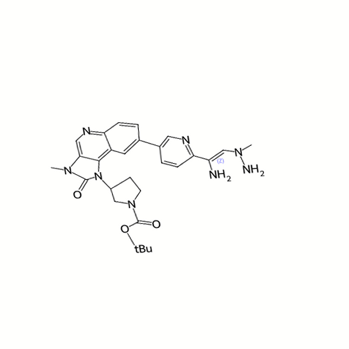 CN(N)/C=C(\N)c1ccc(-c2ccc3ncc4c(c3c2)n(C2CCN(C(=O)OC(C)(C)C)C2)c(=O)n4C)cn1